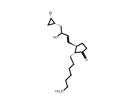 CC[C@H]1C[C@H]1CC(O)C=C[C@H]1CCC(=O)[C@@H]1CCCCCCC(=O)O